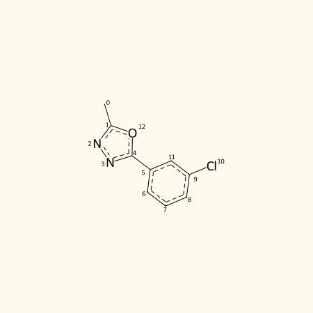 Cc1nnc(-c2cccc(Cl)c2)o1